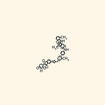 Cc1cccc(C)c1Nc1nn(C)c2nc(Nc3ccc(N4CCN(CC5CN(c6ccc7c(c6)C(=O)N(C6CCC(=O)NC6=O)C7=O)C5)C[C@H]4C)cc3)ncc12